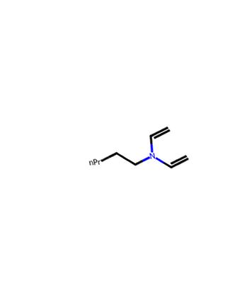 C=CN(C=C)CCCCC